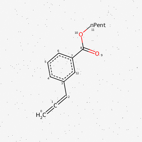 C=C=Cc1cccc(C(=O)OCCCCC)c1